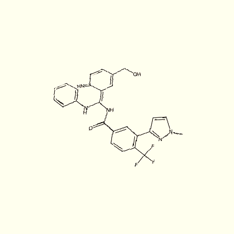 Cn1ccc(-c2cc(C(=O)N/C(Nc3ccccc3)=C3\C=C(CO)C=CC3=N)ccc2C(F)(F)F)n1